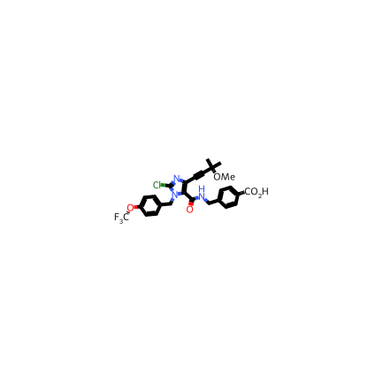 COC(C)(C)C#Cc1nc(Cl)n(Cc2ccc(OC(F)(F)F)cc2)c1C(=O)NCc1ccc(C(=O)O)cc1